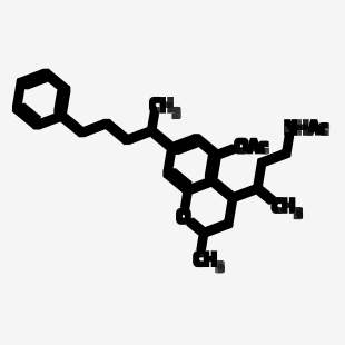 CC(=O)NCCC(C)C1CC(C)Oc2cc(C(C)CCCc3ccccc3)cc(OC(C)=O)c21